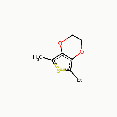 CCc1sc(C)c2c1OCCO2